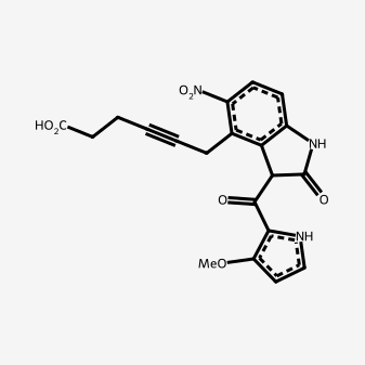 COc1cc[nH]c1C(=O)C1C(=O)Nc2ccc([N+](=O)[O-])c(CC#CCCC(=O)O)c21